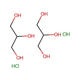 Cl.Cl.OCC(O)CO.OCC(O)CO